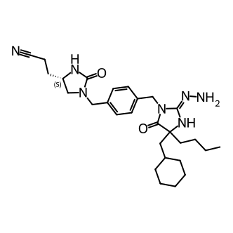 CCCCC1(CC2CCCCC2)NC(=NN)N(Cc2ccc(CN3C[C@H](CCC#N)NC3=O)cc2)C1=O